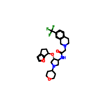 O=C(CN1CCc2ccc(C(F)(F)F)cc2C1)NC1CN(C2CCOCC2)C[C@@H]1OC1CCc2ccoc21